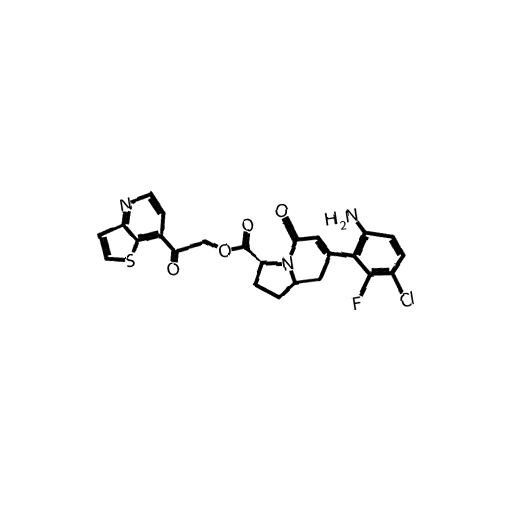 Nc1ccc(Cl)c(F)c1C1=CC(=O)N2C(CC[C@H]2C(=O)OCC(=O)c2ccnc3ccsc23)C1